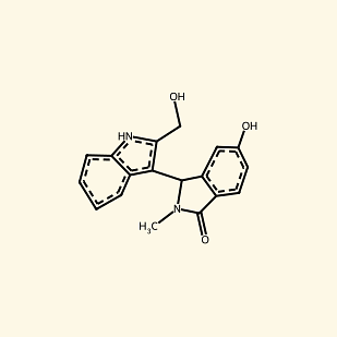 CN1C(=O)c2ccc(O)cc2C1c1c(CO)[nH]c2ccccc12